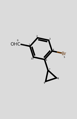 O=Cc1ccc(Br)c(C2CC2)c1